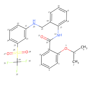 CC(C)Oc1ccccc1C(=O)Nc1ccccc1CNc1cccc(S(=O)(=O)C(F)(F)F)c1